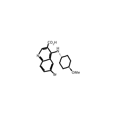 CO[C@H]1CC[C@H](Nc2c(C(=O)O)cnc3ccc(Br)cc23)CC1